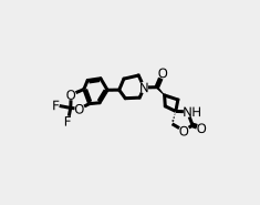 O=C1N[C@]2(CO1)C[C@H](C(=O)N1CCC(c3ccc4c(c3)OC(F)(F)O4)CC1)C2